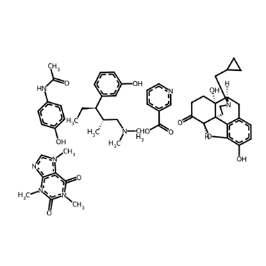 CC(=O)Nc1ccc(O)cc1.CC[C@@H](c1cccc(O)c1)[C@@H](C)CN(C)C.Cn1c(=O)c2c(ncn2C)n(C)c1=O.O=C(O)c1cccnc1.O=C1CC[C@@]2(O)[C@H]3Cc4ccc(O)c5c4[C@@]2(CCN3CC2CC2)[C@H]1O5